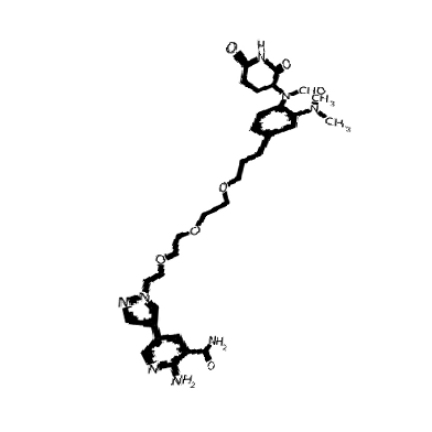 CN(C)c1cc(CCCOCCOCCOCCn2cc(-c3cnc(N)c(C(N)=O)c3)cn2)ccc1N(C=O)C1CCC(=O)NC1=O